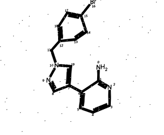 Nc1ncccc1-c1cnn(Cc2ccc(Br)cc2)c1